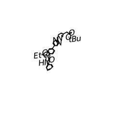 CCC1CN(C(=O)Nc2ccccc2)c2ccc(-c3cnc(N4CCC(CC(=O)OC(C)(C)C)C4)nc3)cc2O1